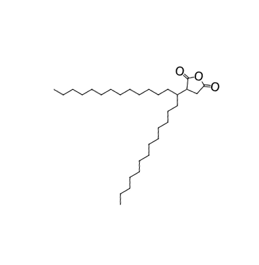 CCCCCCCCCCCCCC(CCCCCCCCCCCCC)C1CC(=O)OC1=O